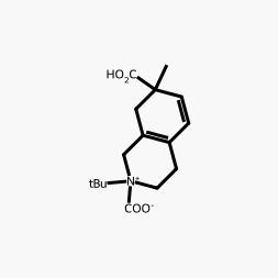 CC1(C(=O)O)C=CC2=C(C1)C[N+](C(=O)[O-])(C(C)(C)C)CC2